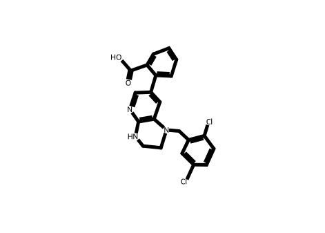 O=C(O)c1ccccc1-c1cnc2c(c1)N(Cc1cc(Cl)ccc1Cl)CCN2